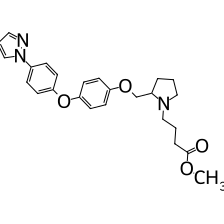 COC(=O)CCCN1CCCC1COc1ccc(Oc2ccc(-n3cccn3)cc2)cc1